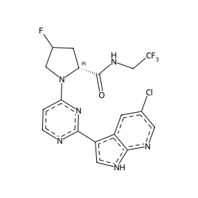 O=C(NCC(F)(F)F)[C@H]1CC(F)CN1c1ccnc(-c2c[nH]c3ncc(Cl)cc23)n1